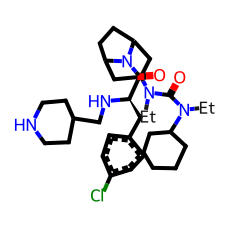 CCN(C(=O)N(CC)C1CC2CCC(C1)N2C(=O)[C@@H](Cc1ccc(Cl)cc1)NCC1CCNCC1)C1CCCCC1